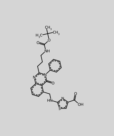 CC(C)(C)OC(=O)NCCCc1nc2cccc(CNc3nc(C(=O)O)cs3)c2c(=O)n1-c1ccccc1